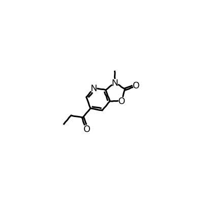 CCC(=O)c1cnc2c(c1)oc(=O)n2C